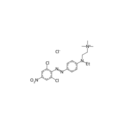 CCN(CC[N+](C)(C)C)c1ccc(N=Nc2c(Cl)cc([N+](=O)[O-])cc2Cl)cc1.[Cl-]